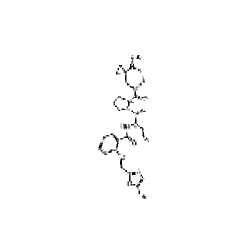 CC(C)C[C@@H](NC(=O)c1ccccc1OCc1ncc(C(C)(C)C)o1)C(=O)N1CCC[C@@H]1C(=O)N1CCN(C)C2(CC2)C1